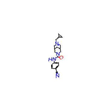 N#Cc1ccc(NC(=O)N2CC3CC(CN(CC4CC4)C3)C2)cc1